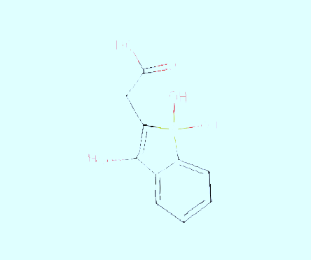 O=C(O)CC1=C(O)c2ccccc2S1(O)O